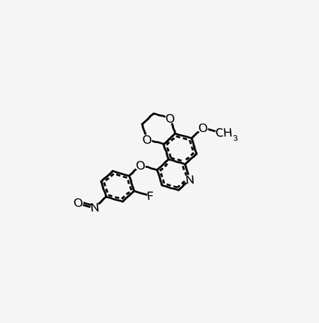 COc1cc2nccc(Oc3ccc(N=O)cc3F)c2c2c1OCCO2